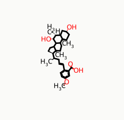 CC[C@H]1[C@@H](O)C2C3CC[C@H]([C@H](C)C/C=C/c4ccc(OC)cc4C(=O)O)C3(C)CCC2C2(C)CC[C@@H](O)C[C@@H]12